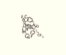 N=C1N[C@](CCCC(F)(F)F)(c2ccc(F)cc2)C(=O)N1Cc1ccc(C(F)(F)F)c(C(=O)N2Cc3cnc(-c4ccncc4)nc3C2)c1